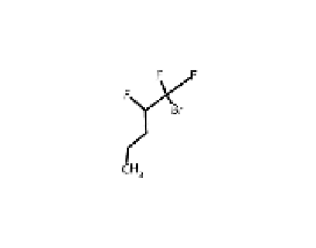 CCCC(F)C(F)(F)Br